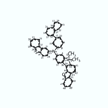 C[Si]1(C)c2cc(N(c3cccc(-c4cccc5ccccc45)c3)c3ccc4sc5ccccc5c4c3)ccc2-c2c1ccc1c2oc2ccccc21